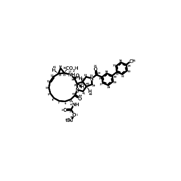 CC(C)(C)OC(=O)N[C@@H]1CCCCC/C=C\[C@H]2C[C@@]2(C(=O)O)NC(=O)[C@@H]2[C@H]3CN(C(=O)c4cccc(-c5ccc(Cl)cc5)c4)C[C@H]3CN2C1=O